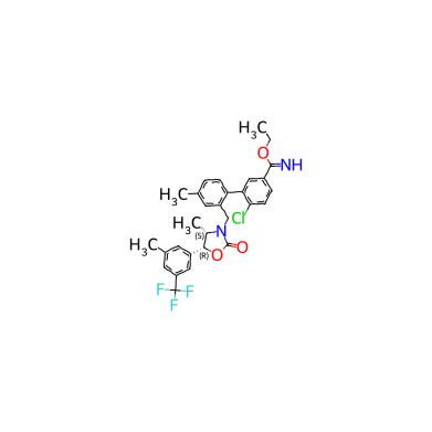 CCOC(=N)c1ccc(Cl)c(-c2ccc(C)cc2CN2C(=O)O[C@H](c3cc(C)cc(C(F)(F)F)c3)[C@@H]2C)c1